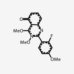 COc1ccc(-c2nc3cccc(=O)c-3c(OC)n2OC)c(F)c1